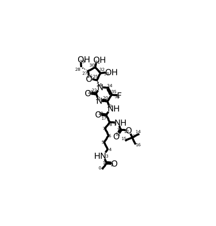 CC(=O)NCCCCC(NC(=O)OC(C)(C)C)C(=O)Nc1nc(=O)n([C@@H]2O[C@H](CO)C(O)C2O)cc1F